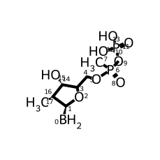 B[C@@H]1OC(COP(C)(=O)OP(=O)(O)O)[C@@H](O)[C@H]1C